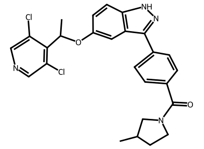 CC1CCN(C(=O)c2ccc(-c3n[nH]c4ccc(OC(C)c5c(Cl)cncc5Cl)cc34)cc2)C1